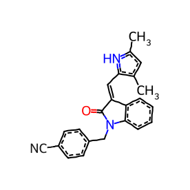 Cc1cc(C)c(C=C2C(=O)N(Cc3ccc(C#N)cc3)c3ccccc32)[nH]1